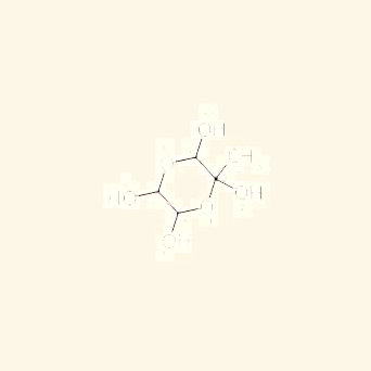 CC1(O)OC(O)C(O)OC1O